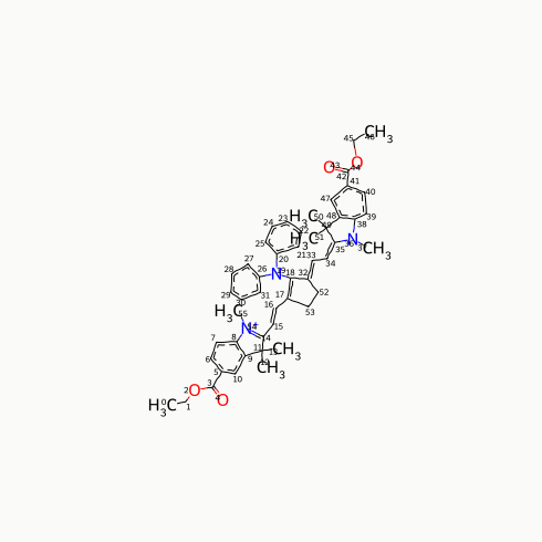 CCOC(=O)c1ccc2c(c1)C(C)(C)C(/C=C/C1=C(N(c3ccccc3)c3ccccc3)C(=C/C=C3/N(C)c4ccc(C(=O)OCC)cc4C3(C)C)/CC1)=[N+]2C